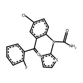 NC(=O)N(c1nccs1)c1ccc(Cl)cc1C(=O)c1ccccc1F